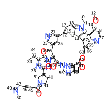 CCn1c(-c2cnccc2COC)c2c3cc(ccc31)-c1cncc(c1)C[C@H](NC(=O)C(C(C)C)N(C)C(=O)[C@H]1CCN(C(=O)C#CCN(C)C)C1)C(=O)N1CCC[C@H](N1)C(=O)OCC(C)(C)C2